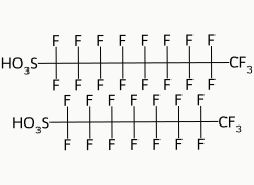 O=S(=O)(O)C(F)(F)C(F)(F)C(F)(F)C(F)(F)C(F)(F)C(F)(F)C(F)(F)C(F)(F)C(F)(F)F.O=S(=O)(O)C(F)(F)C(F)(F)C(F)(F)C(F)(F)C(F)(F)C(F)(F)C(F)(F)C(F)(F)F